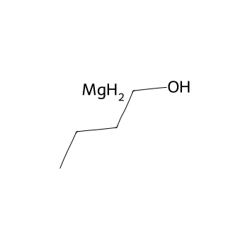 CCCCO.[MgH2]